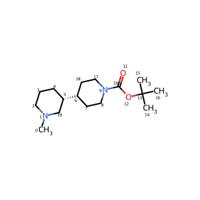 CN1CCC[C@H](C2CCN(C(=O)OC(C)(C)C)CC2)C1